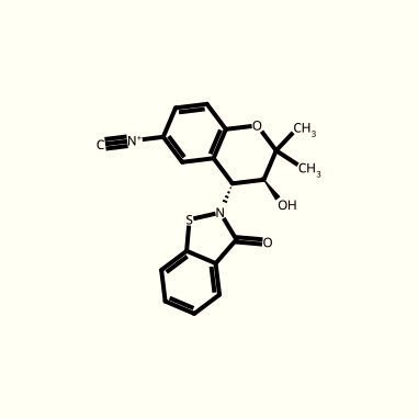 [C-]#[N+]c1ccc2c(c1)[C@@H](n1sc3ccccc3c1=O)[C@H](O)C(C)(C)O2